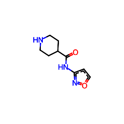 O=C(Nc1ccon1)C1CCNCC1